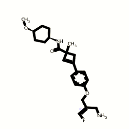 CO[C@H]1CC[C@@H](NC(=O)C2(C)C=C(c3ccc(OC/C(=C/F)CN)cc3)C2)CC1